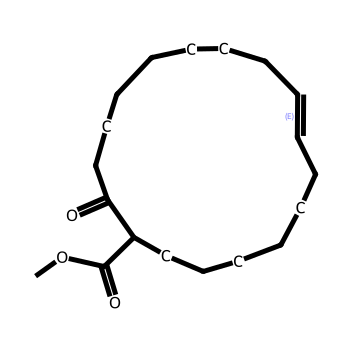 COC(=O)C1CCCCCC/C=C/CCCCCCCC1=O